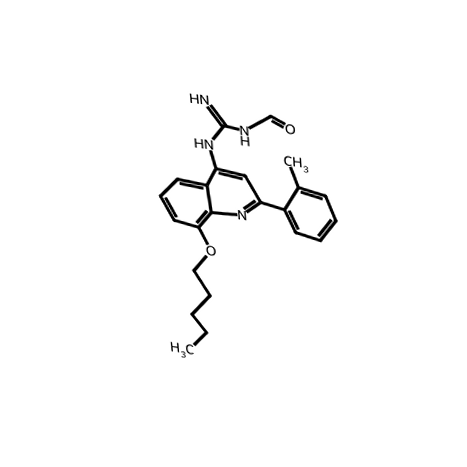 CCCCCOc1cccc2c(NC(=N)NC=O)cc(-c3ccccc3C)nc12